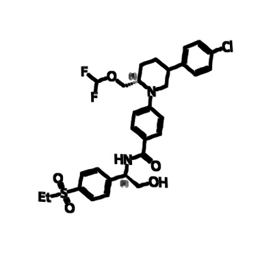 CCS(=O)(=O)c1ccc([C@H](CO)NC(=O)c2ccc(N3CC(c4ccc(Cl)cc4)CC[C@H]3COC(F)F)cc2)cc1